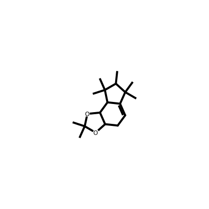 CC1C(C)(C)C2=CCC3OC(C)(C)OC3C2C1(C)C